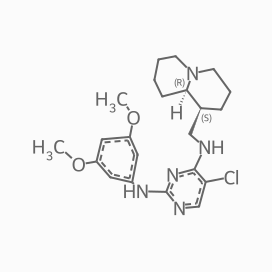 COc1cc(Nc2ncc(Cl)c(NC[C@@H]3CCCN4CCCC[C@H]34)n2)cc(OC)c1